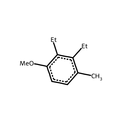 CCc1c(C)ccc(OC)c1CC